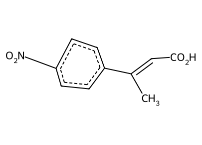 CC(=CC(=O)O)c1ccc([N+](=O)[O-])cc1